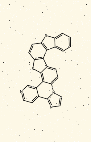 c1ccc2c(c1)sc1ccc3sc4c(ccc5c4c4cnccc4c4nccn54)c3c12